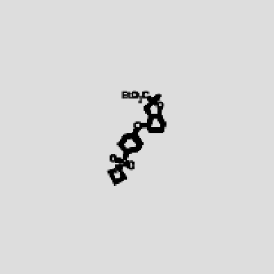 CCOC(=O)C1(C)Cc2c(Oc3ccc(S(=O)(=O)N4CCC4)cc3)cccc2O1